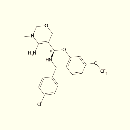 CN1COCC([C@H](NCc2ccc(Cl)cc2)Oc2cccc(OC(F)(F)F)c2)=C1N